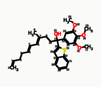 C=CCCC=CC=C(C)CCC(O)(c1cc(OC)c(OC)c(OC)c1)c1cc2ccccc2s1